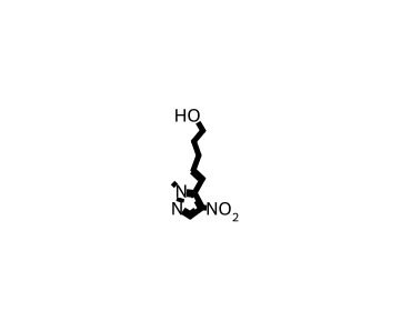 Cn1ncc([N+](=O)[O-])c1C=CCCCO